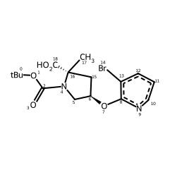 CC(C)(C)OC(=O)N1C[C@H](Oc2ncccc2Br)C[C@@]1(C)C(=O)O